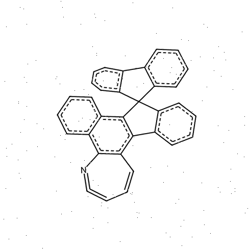 C1=CC=Cc2c3c(c4ccccc4c2N=1)C1(c2ccccc2-c2ccccc21)c1ccccc1-3